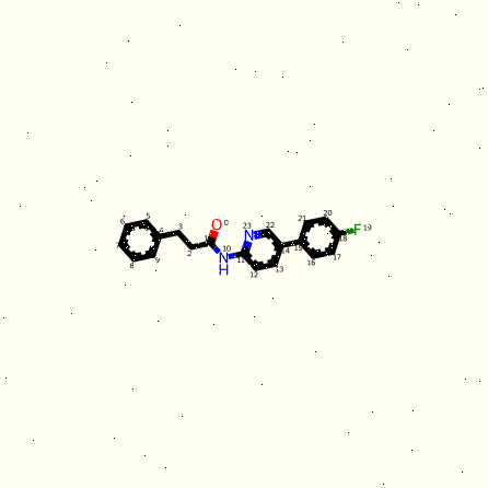 O=C(CCc1ccccc1)Nc1ccc(-c2ccc(F)cc2)cn1